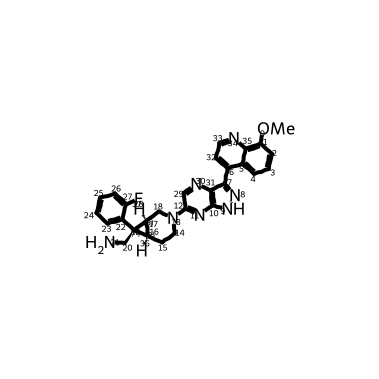 COc1cccc2c(-c3n[nH]c4nc(N5CC[C@@H]6[C@H](C5)[C@@]6(CN)c5ccccc5F)cnc34)ccnc12